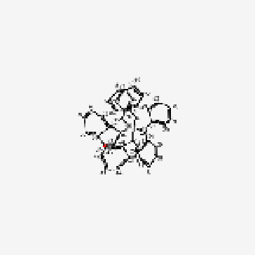 C1=C[CH]([Hf]([CH2]c2ccccc2)([CH2]c2ccccc2)([CH]2C=Cc3ccccc32)[SiH](c2ccccc2)c2ccccc2)c2ccccc21